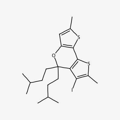 Cc1cc2c(s1)-c1sc(C)c(I)c1C(CCC(C)C)(CCC(C)C)O2